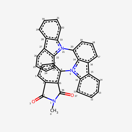 CN1C(=O)c2cccc(-n3c4ccccc4c4cccc(-n5c6ccccc6c6ccccc65)c43)c2C1=O